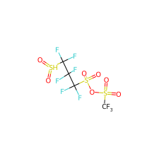 O=[SH](=O)C(F)(F)C(F)(F)C(F)(F)S(=O)(=O)OS(=O)(=O)C(F)(F)F